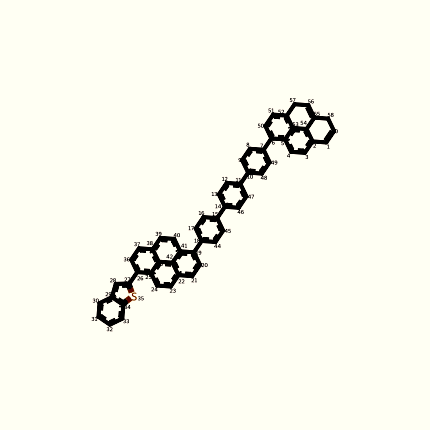 C1=Cc2ccc3c(-c4ccc(-c5ccc(-c6ccc(-c7ccc8ccc9c(-c%10cc%11ccccc%11s%10)ccc%10ccc7c8c%109)cc6)cc5)cc4)ccc4c3c2C(=CC4)C1